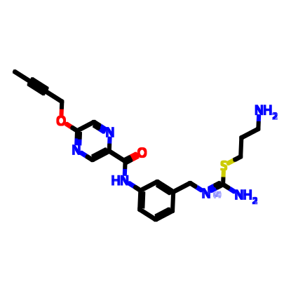 CC#CCOc1cnc(C(=O)Nc2cccc(C/N=C(/N)SCCCN)c2)cn1